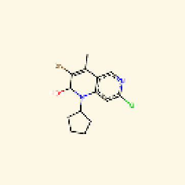 CC1=C(Br)C(O)N(C2CCCC2)c2cc(Cl)ncc21